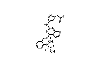 CN(c1ccccc1CNc1nc(Nc2cnn(CC(F)F)c2)nc2[nH]ccc12)S(C)(=O)=O